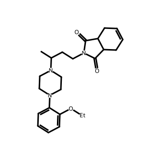 CCOc1ccccc1N1CCN(C(C)CCN2C(=O)C3CC=CCC3C2=O)CC1